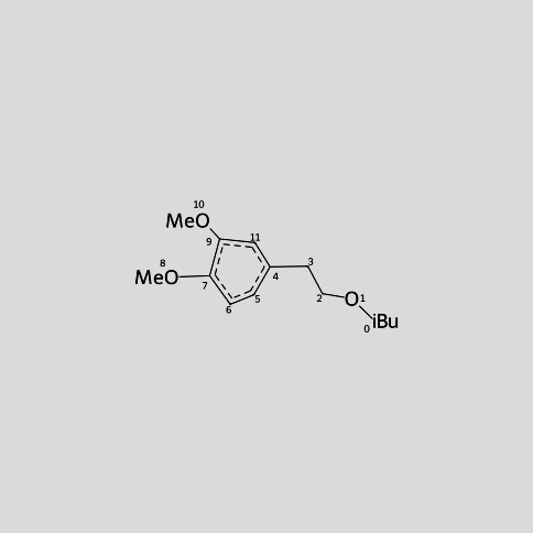 CCC(C)OCCc1ccc(OC)c(OC)c1